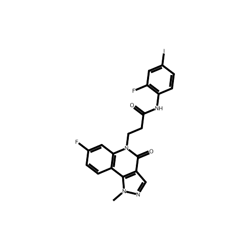 Cn1ncc2c(=O)n(CCC(=O)Nc3ccc(I)cc3F)c3cc(F)ccc3c21